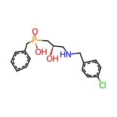 O=P(O)(Cc1ccccc1)C[C@H](O)CNCc1ccc(Cl)cc1